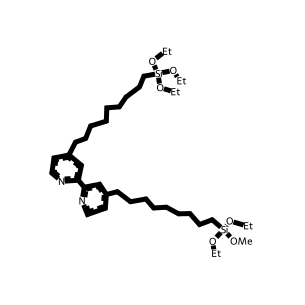 CCO[Si](CCCCCCCCCc1ccnc(-c2cc(CCCCCCCCC[Si](OCC)(OCC)OCC)ccn2)c1)(OC)OCC